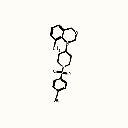 CC(=O)c1ccc(S(=O)(=O)N2CCC(N3COCc4cccc(C)c43)CC2)cc1